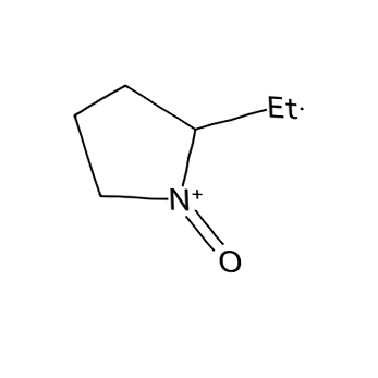 C[CH]C1CCC[N+]1=O